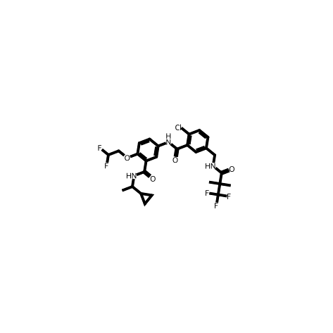 CC(NC(=O)c1cc(NC(=O)c2cc(CNC(=O)C(C)(C)C(F)(F)F)ccc2Cl)ccc1OCC(F)F)C1CC1